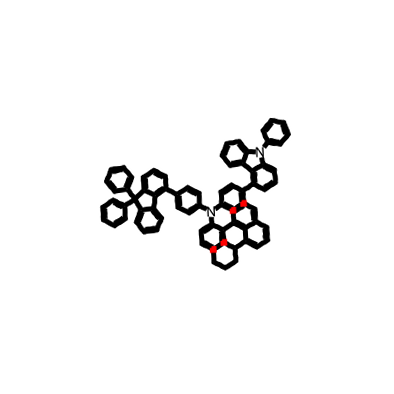 c1ccc(-n2c3ccccc3c3c(-c4ccc(N(c5ccc(-c6cccc7c6-c6ccccc6C7(c6ccccc6)c6ccccc6)cc5)c5ccccc5-c5cccc6cccc(C7CCCCC7)c56)cc4)cccc32)cc1